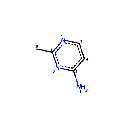 Cc1n[c]cc(N)n1